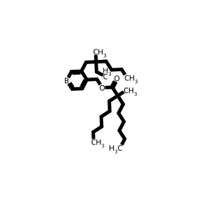 CCCCCCC(C)(CCCCCC)C(=O)OCc1ccbcc1CC(C)(CC)CCCC